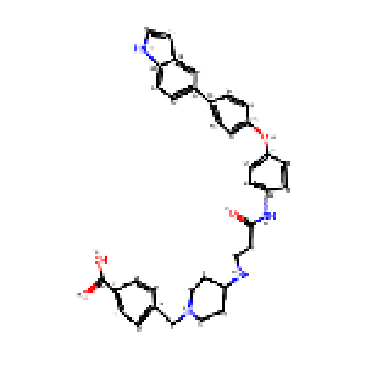 O=C(CCNC1CCN(Cc2ccc(C(=O)O)cc2)CC1)Nc1ccc(Oc2ccc(-c3ccc4[nH]ccc4c3)cc2)cc1